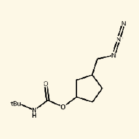 CC(C)(C)NC(=O)OC1CCC(CN=[N+]=[N-])C1